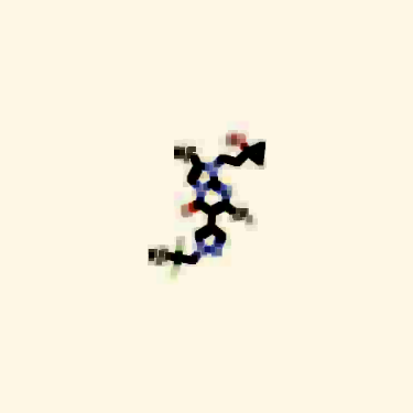 Cc1cn2c(=O)c(-c3cnn(CC(F)(F)C(F)(F)F)c3)c(C(F)(F)F)nc2n1CCC1(O)CC1